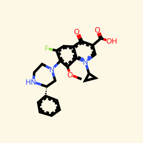 COc1c(N2CCN[C@@H](c3ccccc3)C2)c(F)cc2c(=O)c(C(=O)O)cn(C3CC3)c12